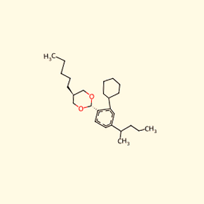 CCCCC[C@H]1CO[C@H](c2ccc(C(C)CCC)cc2C2CCCCC2)OC1